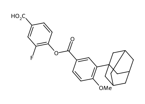 COc1ccc(C(=O)Oc2ccc(C(=O)O)cc2F)cc1C12CC3CC(CC(C3)C1)C2